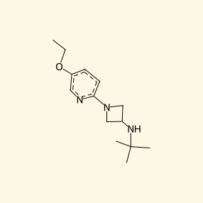 CCOc1ccc(N2CC(NC(C)(C)C)C2)nc1